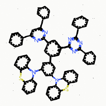 c1ccc(-c2cc(-c3ccccc3)nc(-c3cc(-c4cc(N5c6ccccc6Sc6ccccc65)cc(N5c6ccccc6Sc6ccccc65)c4)cc(-c4nc(-c5ccccc5)nc(-c5ccccc5)n4)c3)n2)cc1